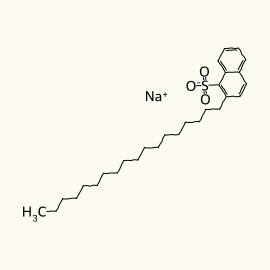 CCCCCCCCCCCCCCCCCCc1ccc2ccccc2c1S(=O)(=O)[O-].[Na+]